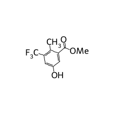 COC(=O)c1cc(O)cc(C(F)(F)F)c1C